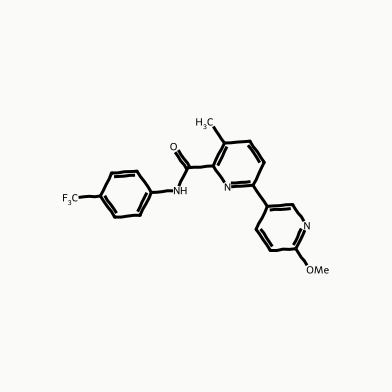 COc1ccc(-c2ccc(C)c(C(=O)Nc3ccc(C(F)(F)F)cc3)n2)cn1